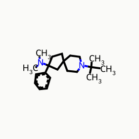 CN(C)C1(c2ccccc2)CCC2(CCN(C(C)(C)C)CC2)C1